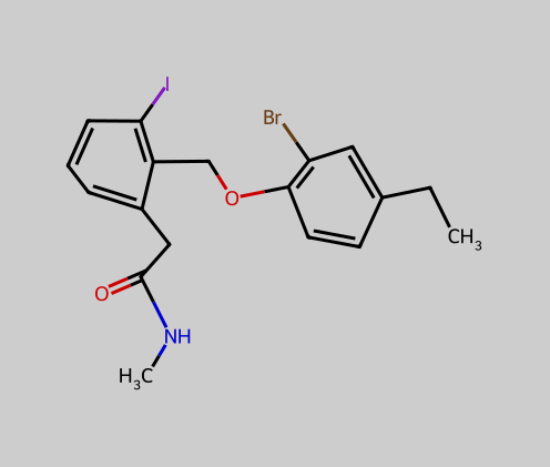 CCc1ccc(OCc2c(I)cccc2CC(=O)NC)c(Br)c1